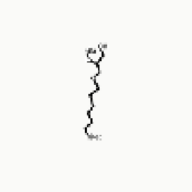 CCCCCCCCCCCCCCCCOCC(CO)OCCCC